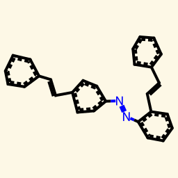 C(=Cc1ccc(N=Nc2ccccc2C=Cc2ccccc2)cc1)c1ccccc1